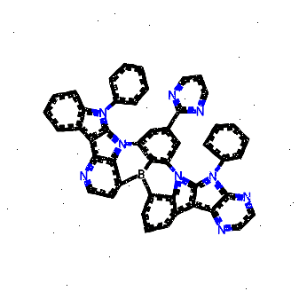 c1ccc(-n2c3ccccc3c3c4nccc5c4n(c32)-c2cc(-c3ncccn3)cc3c2B5c2cccc4c5c6nccnc6n(-c6ccccc6)c5n-3c24)cc1